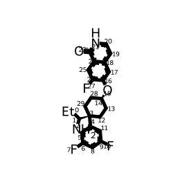 CCC(N)[C@]1(c2cc(F)cc(F)c2)CC[C@H](Oc2cc3cc[nH]c(=O)c3cc2F)CC1